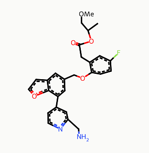 COCC(C)OC(=O)Cc1cc(F)ccc1OCc1cc(-c2ccnc(CN)c2)c2occc2c1